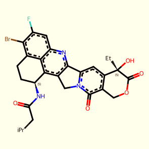 CC[C@@]1(O)C(=O)OCc2c1cc1n(c2=O)Cc2c-1nc1cc(F)c(Br)c3c1c2[C@@H](NC(=O)CC(C)C)CC3